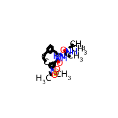 CCCN(c1cc2cc(c1)C(=O)N[C@H](CN[C@@H](CC)C(=O)NCC(C)C)Cc1cccc(c1)CCCC2)S(C)(=O)=O